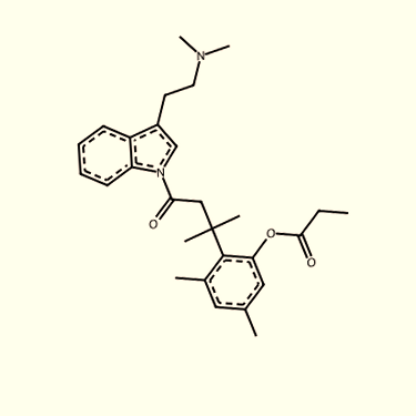 CCC(=O)Oc1cc(C)cc(C)c1C(C)(C)CC(=O)n1cc(CCN(C)C)c2ccccc21